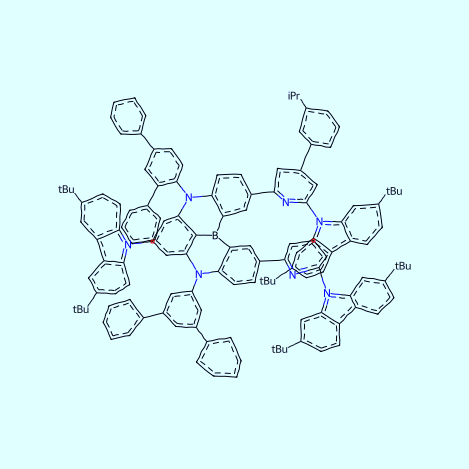 CC(C)c1cccc(-c2cc(-c3ccc4c(c3)B3c5cc(-c6cccc(-n7c8cc(C(C)(C)C)ccc8c8ccc(C(C)(C)C)cc87)n6)ccc5N(c5cc(-c6ccccc6)cc(-c6ccccc6)c5)c5cc(-n6c7ccc(C(C)(C)C)cc7c7cc(C(C)(C)C)ccc76)cc(c53)N4c3ccc(-c4ccccc4)cc3-c3ccccc3)nc(-n3c4cc(C(C)(C)C)ccc4c4ccc(C(C)(C)C)cc43)c2)c1